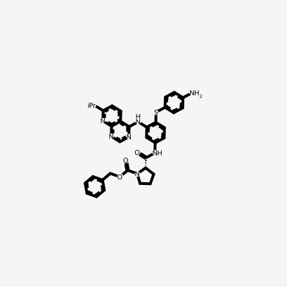 CC(C)c1ccc2c(Nc3cc(NC(=O)[C@@H]4CCCN4C(=O)OCc4ccccc4)ccc3Sc3ccc(N)cc3)ncnc2n1